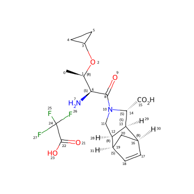 C[C@@H](OC1CC1)[C@H](N)C(=O)N1C[C@H]2[C@@H]([C@H]1C(=O)O)[C@H]1C=C[C@@H]2C1.O=C(O)C(F)(F)F